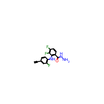 C#Cc1ccc(Nc2c(C(=O)NN)ccc(F)c2F)c(F)c1